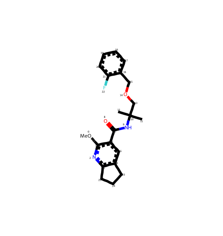 COc1nc2c(cc1C(=O)NC(C)(C)COCc1ccccc1F)CCC2